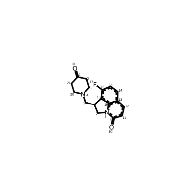 O=C1CCN(C[C@@H]2Cn3c(=O)ccc4ccc(F)c2c43)CC1